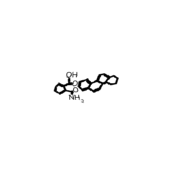 NC(=O)c1ccccc1C(=O)O.c1ccc2c(c1)ccc1c3c(ccc12)CCCC3